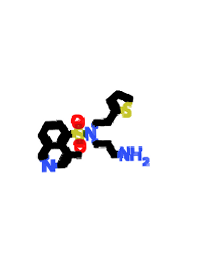 Cc1cncc2cccc(S(=O)(=O)N(CCCN)CCc3cccs3)c12